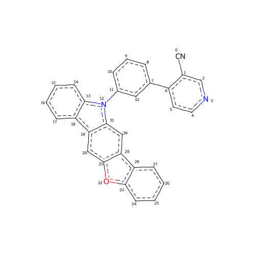 N#Cc1cnccc1-c1cccc(-n2c3ccccc3c3cc4oc5ccccc5c4cc32)c1